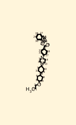 CCCOC1CCC(C2CCC(N3CCN(c4ccc(C(=O)On5nnc6ccccc65)cc4)CC3)CC2)CC1